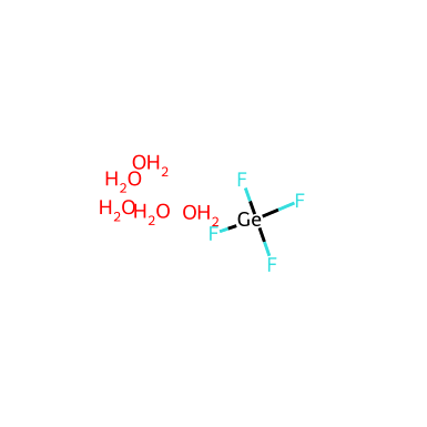 O.O.O.O.O.[F][Ge]([F])([F])[F]